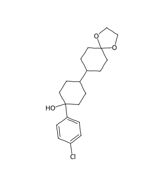 OC1(c2ccc(Cl)cc2)CCC(C2CCC3(CC2)OCCO3)CC1